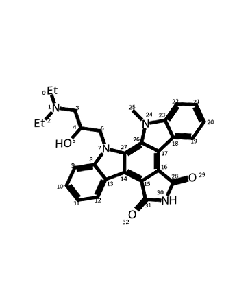 CCN(CC)CC(O)Cn1c2ccccc2c2c3c(c4c5ccccc5n(C)c4c21)C(=O)NC3=O